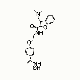 C=C(NO)c1ccc(OCCNC(=O)c2oc3ccccc3c2CN(C)C)cc1